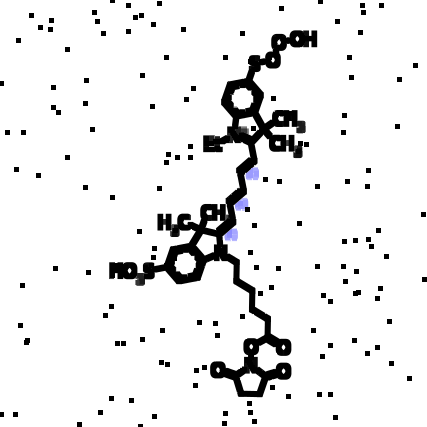 CC[N+]1=C(/C=C/C=C/C=C2/N(CCCCCC(=O)ON3C(=O)CCC3=O)c3ccc(S(=O)(=O)O)cc3C2(C)C)C(C)(C)c2cc(SOOO)ccc21